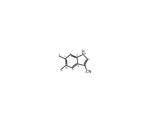 Cc1cc2[nH]cc(C#N)c2cc1C